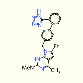 CCc1cc2c(n1Cc1ccc(-c3ccccc3-c3nnn[nH]3)cc1)NC(NC)N=C2C